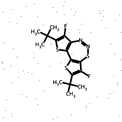 CC(C)(C)c1sc2c(c1F)N=NSc1c-2sc(C(C)(C)C)c1F